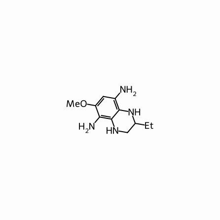 CCC1CNc2c(N)c(OC)cc(N)c2N1